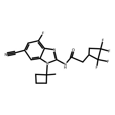 CC1(n2c(NC(=O)CC3CC(F)(F)C3(F)F)nc3c(F)cc(C#N)cc32)CCC1